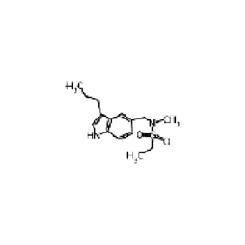 [CH2]CCc1c[nH]c2ccc(CN(C)S(=O)(=O)CC)cc12